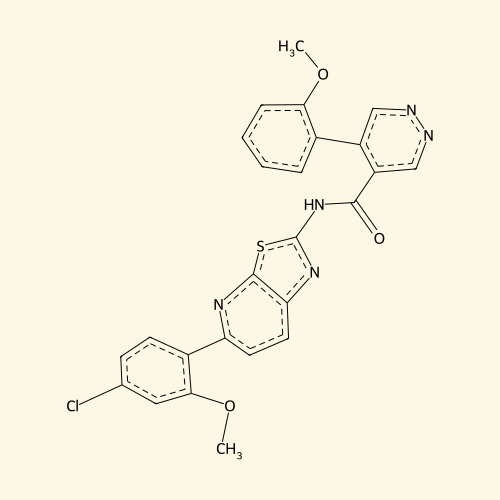 COc1cc(Cl)ccc1-c1ccc2nc(NC(=O)c3cnncc3-c3ccccc3OC)sc2n1